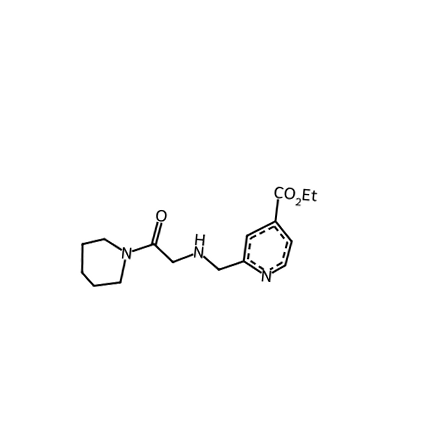 CCOC(=O)c1ccnc(CNCC(=O)N2CCCCC2)c1